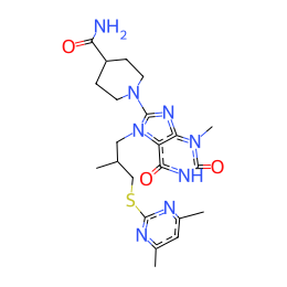 Cc1cc(C)nc(SCC(C)Cn2c(N3CCC(C(N)=O)CC3)nc3c2c(=O)[nH]c(=O)n3C)n1